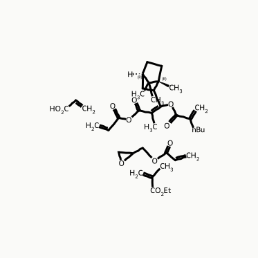 C=C(C)C(=O)OCC.C=CC(=O)O.C=CC(=O)OC(=O)C(C)=C(OC(=O)C(=C)CCCC)C1C[C@H]2CC[C@@]1(C)C2(C)C.C=CC(=O)OCC1CO1